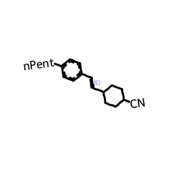 CCCCCc1ccc(/C=C/C2CCC(C#N)CC2)cc1